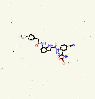 Cc1ccc(CC(=O)Nc2cccc3cc(C(=O)Nc4ccc(C#N)cc4-c4noc(=O)[nH]4)[nH]c23)cc1